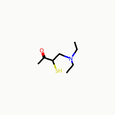 CCN(CC)CC(S)C(C)=O